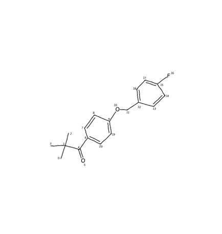 CC(C)(C)C(=O)c1ccc(OCc2ccc(F)cc2)cc1